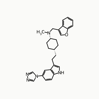 CN(Cc1coc2ccccc12)[C@H]1CC[C@@H](CCc2c[nH]c3ccc(-n4cnnc4)cc23)CC1